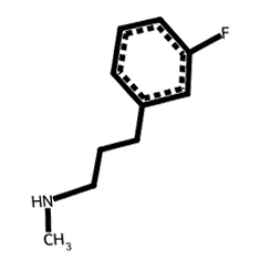 CNCCCc1cccc(F)c1